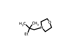 CCC(C)(C)CN1CCOCC1